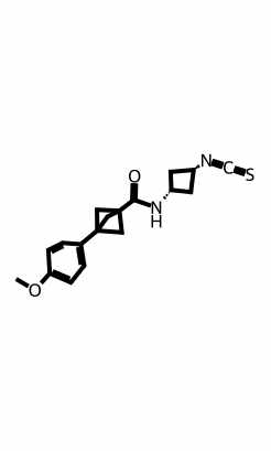 COc1ccc(C23CC(C(=O)N[C@H]4C[C@@H](N=C=S)C4)(C2)C3)cc1